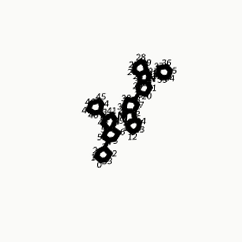 c1ccc(-c2ccc3c(-n4c5ccccc5c5cc(-c6ccc7c(c6)c6ccccc6n7-c6ccccc6)ccc54)cc(-c4ccccc4)cc3c2)cc1